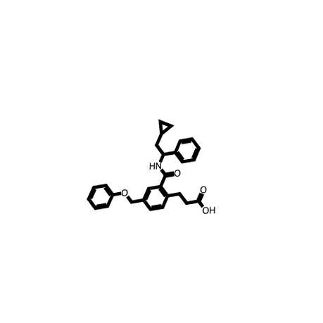 O=C(O)CCc1ccc(COc2ccccc2)cc1C(=O)NC(CC1CC1)c1ccccc1